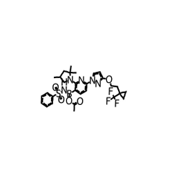 CC(=O)OB(NS(=O)(=O)c1ccccc1)c1ccc(-n2ccc(OCCC3(C(F)(F)F)CC3)n2)nc1N1CC(C)CC1(C)C